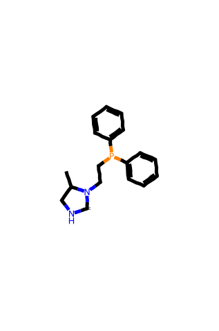 CC1CN[C]N1CCP(c1ccccc1)c1ccccc1